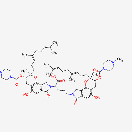 CC(C)=CCC/C(C)=C/CC[C@@]1(C)Oc2c(c(O)cc3c2CN(CCC[C@@H](C(=O)O)N2Cc4c(cc(O)c5c4O[C@](C)(CC/C=C(\C)CCC=C(C)C)[C@@H](OC(=O)N4CCN(C)CC4)C5)C2=O)C3=O)C[C@@H]1OC(=O)N1CCN(C)CC1